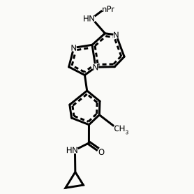 CCCNc1nccn2c(-c3ccc(C(=O)NC4CC4)c(C)c3)cnc12